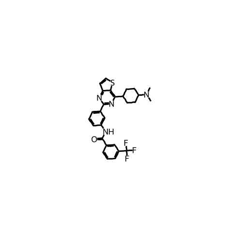 CN(C)C1CCC(c2nc(-c3cccc(NC(=O)c4cccc(C(F)(F)F)c4)c3)nc3ccsc23)CC1